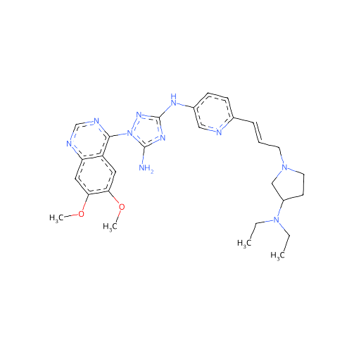 CCN(CC)C1CCN(CC=Cc2ccc(Nc3nc(N)n(-c4ncnc5cc(OC)c(OC)cc45)n3)cn2)C1